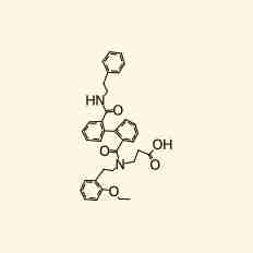 CCOc1ccccc1CCN(CCC(=O)O)C(=O)c1ccccc1-c1ccccc1C(=O)NCCc1ccccc1